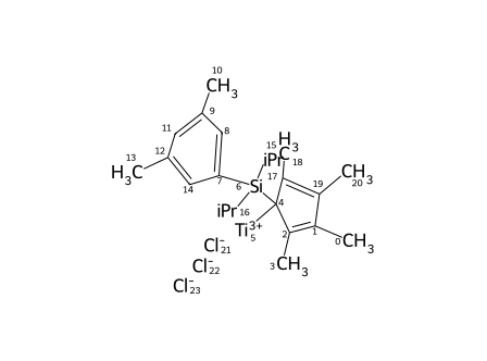 CC1=C(C)[C]([Ti+3])([Si](c2cc(C)cc(C)c2)(C(C)C)C(C)C)C(C)=C1C.[Cl-].[Cl-].[Cl-]